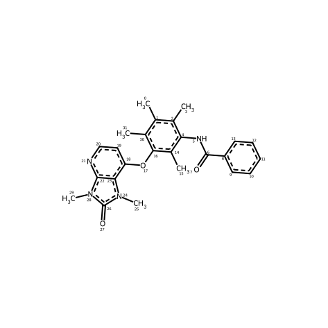 Cc1c(C)c(NC(=O)c2ccccc2)c(C)c(Oc2ccnc3c2n(C)c(=O)n3C)c1C